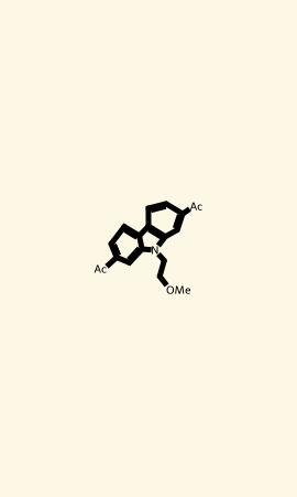 COCCn1c2cc(C(C)=O)ccc2c2ccc(C(C)=O)cc21